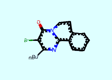 CCCCc1nc2c3ccccc3ccn2c(=O)c1Br